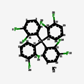 Fc1cccc([B-](c2cccc(F)c2F)(c2cccc(F)c2F)c2cccc(F)c2F)c1F.[K+]